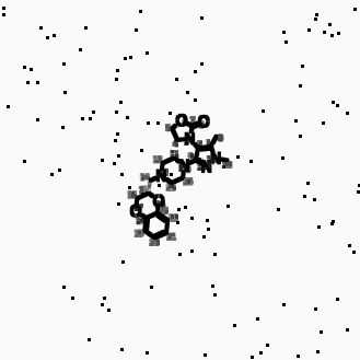 Cc1c(N2CCOC2=O)c(N2CCN(C[C@H]3COc4ccccc4O3)CC2)nn1C